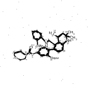 COc1ccccc1NCc1c(-c2ccc(OC(=O)N3CCOCC3)cc2OC)ccc2c1C(C)=CC(C)(C)N2